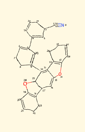 N#CC1C=C(C2=CCCC(C3=c4c5c(oc4=CC4C6=C(C=CCC6)OC34)C=CCC5)=C2)C=CC1